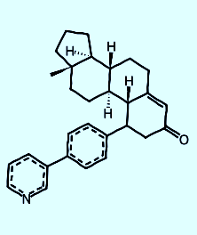 C[C@@]12CCC[C@H]1[C@@H]1CCC3=CC(=O)CC(c4ccc(-c5cccnc5)cc4)[C@@H]3[C@H]1CC2